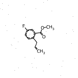 C=CCc1ccc(F)cc1C(=O)OC